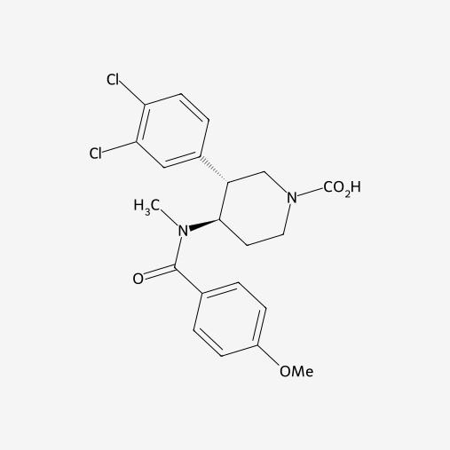 COc1ccc(C(=O)N(C)[C@@H]2CCN(C(=O)O)C[C@H]2c2ccc(Cl)c(Cl)c2)cc1